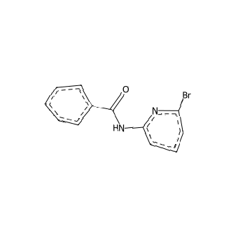 O=C(Nc1cccc(Br)n1)c1ccccc1